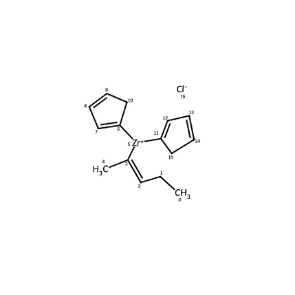 CC/C=[C](/C)[Zr+]([C]1=CC=CC1)[C]1=CC=CC1.[Cl-]